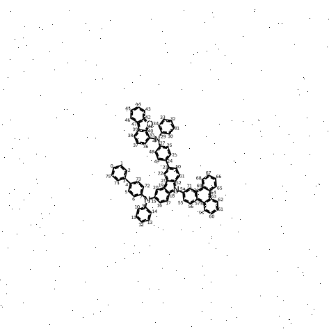 c1ccc(-c2ccc(N(c3ccccc3)c3ccc4c(c3)c3cc(-c5ccc(N(c6ccccc6)c6cccc7c6oc6ccccc67)cc5)ccc3n4-c3ccc4c5ccccc5c5ccccc5c4c3)cc2)cc1